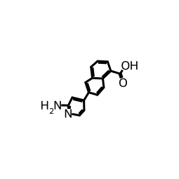 Nc1cc(-c2ccc3c(C(=O)O)cccc3c2)ccn1